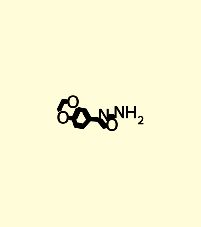 Nc1nc(-c2ccc3c(c2)OCCO3)co1